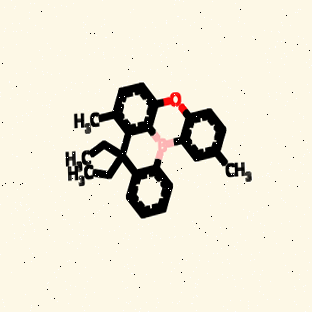 CCC1(CC)c2ccccc2B2c3cc(C)ccc3Oc3ccc(C)c1c32